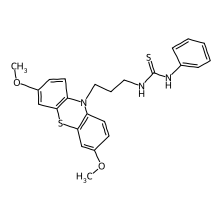 COc1ccc2c(c1)Sc1cc(OC)ccc1N2CCCNC(=S)Nc1ccccc1